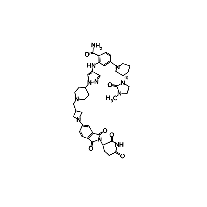 CN1CCN([C@H]2CCCN(c3ccc(C(N)=O)c(Nc4cnn(C5CCN(CC6CN(c7ccc8c(c7)C(=O)N(C7CCC(=O)NC7=O)C8=O)C6)CC5)c4)c3)C2)C1=O